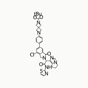 CC(C)(C)OC(=O)N1CC2(C1)CN(c1ccc(-c3cc(Cl)c4c(c3)C(=O)N(C(C(=O)Nc3nccs3)c3ncn5c3CCC5)C4)cc1)C2